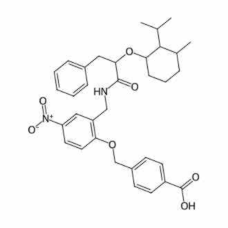 CC(C)C1C(C)CCCC1OC(Cc1ccccc1)C(=O)NCc1cc([N+](=O)[O-])ccc1OCc1ccc(C(=O)O)cc1